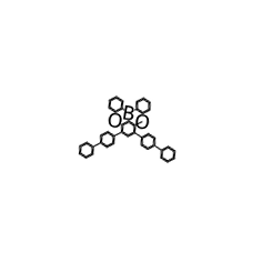 c1ccc(-c2ccc(-c3cc(-c4ccc(-c5ccccc5)cc4)c4c5c3Oc3ccccc3B5c3ccccc3O4)cc2)cc1